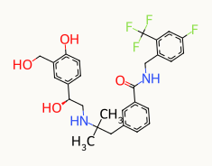 CC(C)(Cc1cccc(C(=O)NCc2ccc(F)cc2C(F)(F)F)c1)NC[C@@H](O)c1ccc(O)c(CO)c1